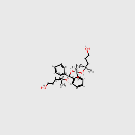 C[Si](C)(CCCO)O[Si](C)(C)O[Si](O[Si](C)(C)CCCO)(c1ccccc1)c1ccccc1